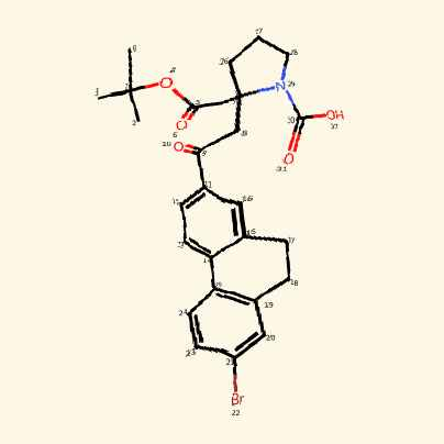 CC(C)(C)OC(=O)C1(CC(=O)c2ccc3c(c2)CCc2cc(Br)ccc2-3)CCCN1C(=O)O